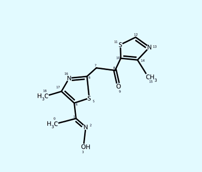 C/C(=N\O)c1sc(CC(=O)c2scnc2C)nc1C